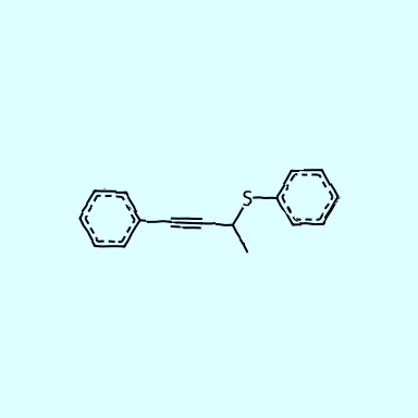 CC(C#Cc1ccccc1)Sc1ccccc1